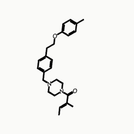 CC=C(C)C(=O)N1CCN(Cc2ccc(CCOc3ccc(C)cc3)cc2)CC1